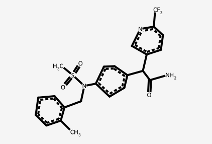 Cc1ccccc1CN(c1ccc(C(C(N)=O)c2ccc(C(F)(F)F)nc2)cc1)S(C)(=O)=O